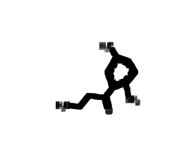 CCCC(=O)c1cc(C)ccc1N